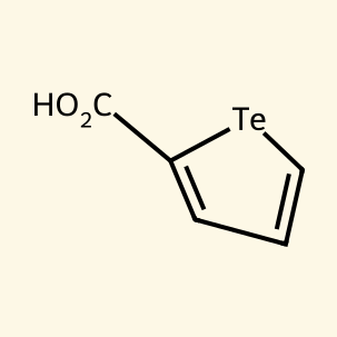 O=C(O)c1ccc[te]1